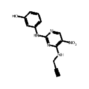 C#CCNc1nc(Nc2cccc(O)c2)ncc1[N+](=O)[O-]